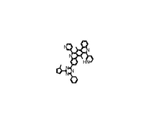 Cc1c2c(-c3cccnc3)nc3cc(-c4nc(C5=CC=CC5C)nc(C5C=CC=CC5)n4)ccc3c2c(C)c2c(C3=CNCC=C3)nc3ccccc3c12